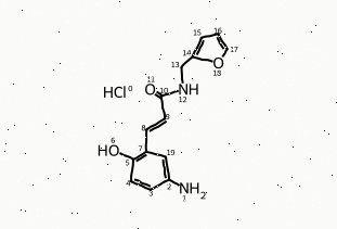 Cl.Nc1ccc(O)c(C=CC(=O)NCc2ccco2)c1